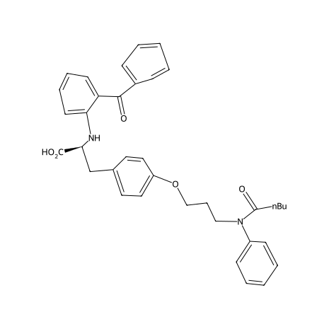 CCCCC(=O)N(CCCOc1ccc(C[C@H](Nc2ccccc2C(=O)c2ccccc2)C(=O)O)cc1)c1ccccc1